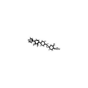 C/C=C(\C=C/CCCC)c1ccc(C2CCC(COC3CCC(CCCC)C(F)C3)CC2)c(F)c1F